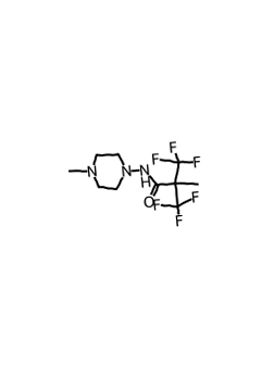 CN1CCN(NC(=O)C(C)(C(F)(F)F)C(F)(F)F)CC1